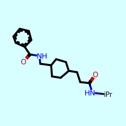 CC(C)NC(=O)CCC1CCC(CNC(=O)c2ccccc2)CC1